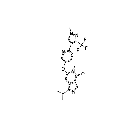 CC(C)c1ncc2c(=O)n(C)c(Oc3ccc(-c4cn(C)nc4C(F)(F)F)nc3)cn12